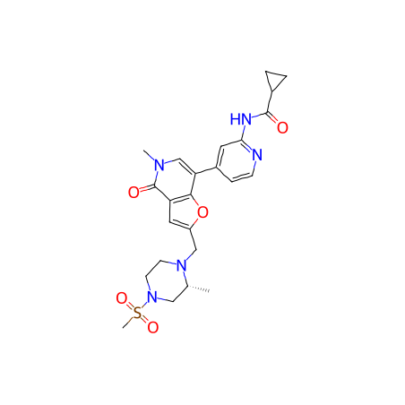 C[C@@H]1CN(S(C)(=O)=O)CCN1Cc1cc2c(=O)n(C)cc(-c3ccnc(NC(=O)C4CC4)c3)c2o1